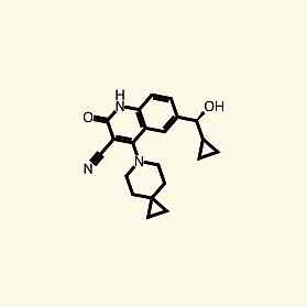 N#Cc1c(N2CCC3(CC2)CC3)c2cc([C@@H](O)C3CC3)ccc2[nH]c1=O